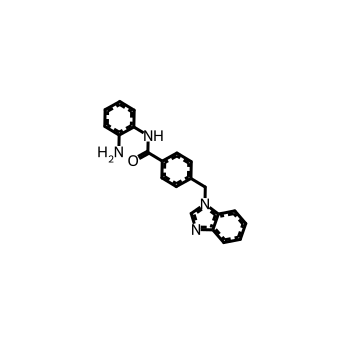 Nc1ccccc1NC(=O)c1ccc(Cn2cnc3ccccc32)cc1